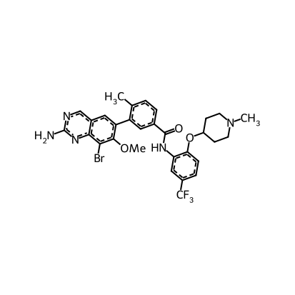 COc1c(-c2cc(C(=O)Nc3cc(C(F)(F)F)ccc3OC3CCN(C)CC3)ccc2C)cc2cnc(N)nc2c1Br